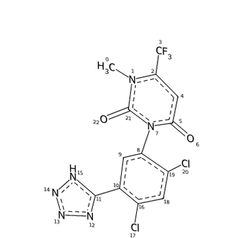 Cn1c(C(F)(F)F)cc(=O)n(-c2cc(-c3nnn[nH]3)c(Cl)cc2Cl)c1=O